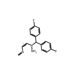 C=N/C=C\N(N)C(c1ccc(F)cc1)c1ccc(F)cc1